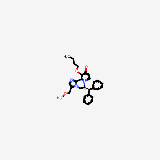 CCCCOc1c2n(ccc1=O)[C@@H](C(c1ccccc1)c1ccccc1)Cn1c(COC)cnc1-2